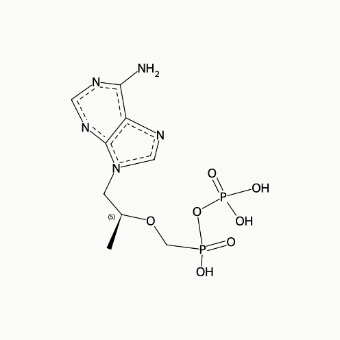 C[C@@H](Cn1cnc2c(N)ncnc21)OCP(=O)(O)OP(=O)(O)O